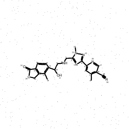 Cc1cc(-c2nc(CNCC(O)c3ccc4c(c3C)COC4=O)n(C)n2)ncc1C#N